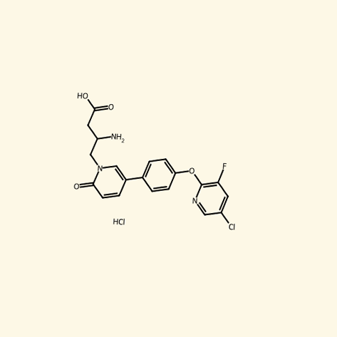 Cl.NC(CC(=O)O)Cn1cc(-c2ccc(Oc3ncc(Cl)cc3F)cc2)ccc1=O